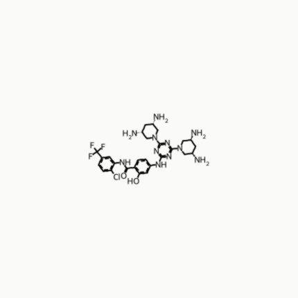 N[C@@H]1C[C@H](N)CN(c2nc(Nc3ccc(C(=O)Nc4cc(C(F)(F)F)ccc4Cl)c(O)c3)nc(N3C[C@H](N)C[C@H](N)C3)n2)C1